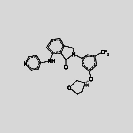 O=C1c2c(cccc2Nc2ccncc2)CN1c1cc(O[C@@H]2CCOC2)cc(C(F)(F)F)c1